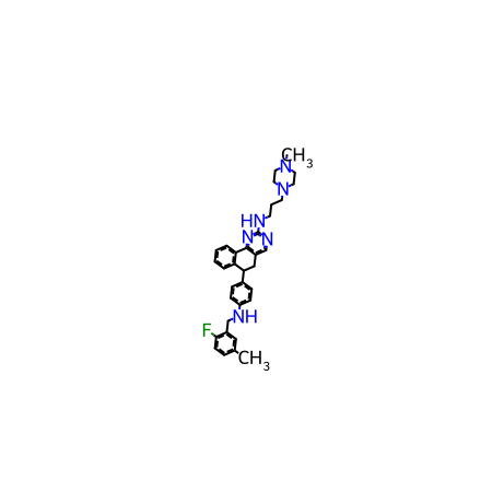 Cc1ccc(F)c(CNc2ccc(C3Cc4cnc(NCCCN5CCN(C)CC5)nc4-c4ccccc43)cc2)c1